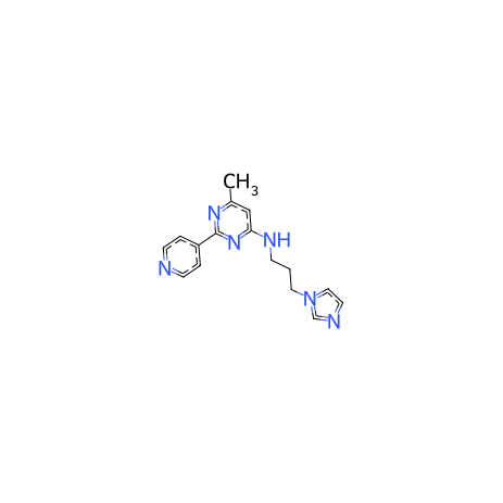 Cc1cc(NCCCn2ccnc2)nc(-c2ccncc2)n1